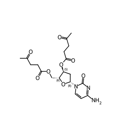 CC(=O)CCC(=O)OC[C@H]1O[C@@H](n2ccc(N)nc2=O)C[C@@H]1OC(=O)CCC(C)=O